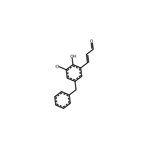 O=C/C=C/c1cc(Cc2ccccc2)cc(Cl)c1O